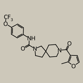 Cc1occc1C(=O)N1CCC2(CCN(C(=O)Nc3ccc(OC(F)(F)F)cc3)C2)CC1